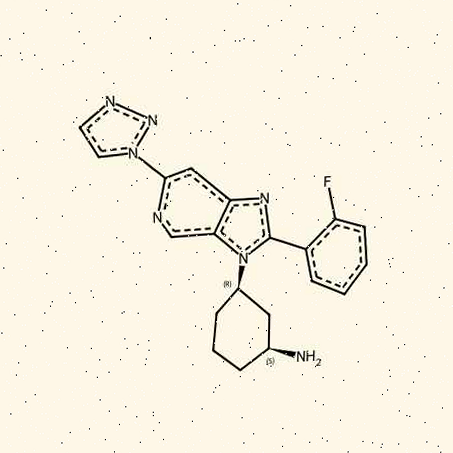 N[C@H]1CCC[C@@H](n2c(-c3ccccc3F)nc3cc(-n4ccnn4)ncc32)C1